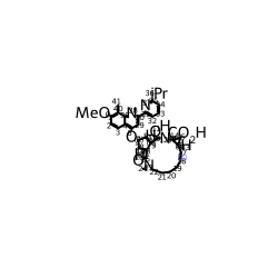 COc1ccc2c(O[C@@H]3C[C@H]4C(=O)N[C@]5(C(=O)O)C[C@H]5/C=C\CCCCN(C)C(=O)[C@@H]4C3)cc(-c3cccc(C(C)C)n3)nc2c1C